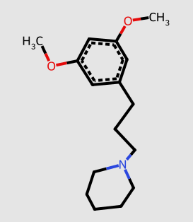 COc1cc(CCCN2CCCCC2)cc(OC)c1